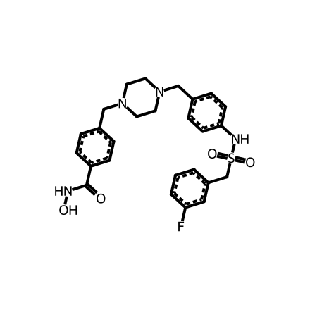 O=C(NO)c1ccc(CN2CCN(Cc3ccc(NS(=O)(=O)Cc4cccc(F)c4)cc3)CC2)cc1